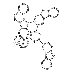 c1ccc(-c2nc(-c3ccc4oc5ccccc5c4c3)nc(-c3cc4c(cc3-n3c5cc6ccccc6cc5c5ccc6ccccc6c53)oc3ccccc34)n2)cc1